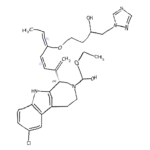 C=C(/C=C\C(=C/C)OCCC(O)Cn1cncn1)[C@H]1c2[nH]c3ccc(Cl)cc3c2CCN1C(O)OCC